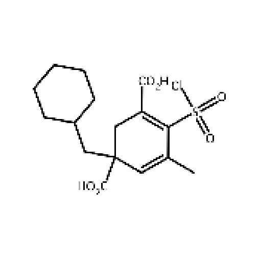 CC1=CC(CC2CCCCC2)(C(=O)O)CC(C(=O)O)=C1S(=O)(=O)Cl